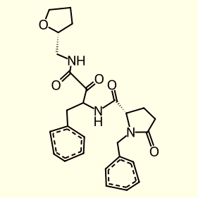 O=C(NC[C@H]1CCCO1)C(=O)C(Cc1ccccc1)NC(=O)[C@@H]1CCC(=O)N1Cc1ccccc1